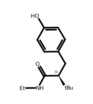 CCNC(=O)[C@@H](Cc1ccc(O)cc1)C(C)(C)C